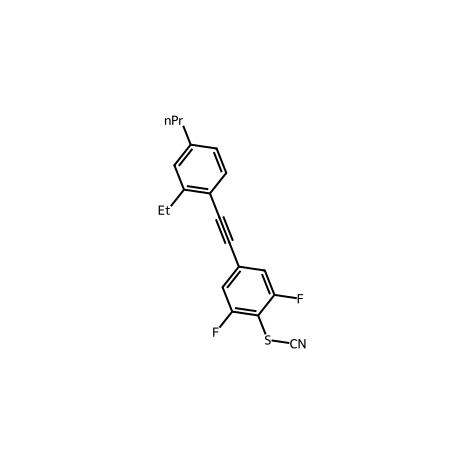 CCCc1ccc(C#Cc2cc(F)c(SC#N)c(F)c2)c(CC)c1